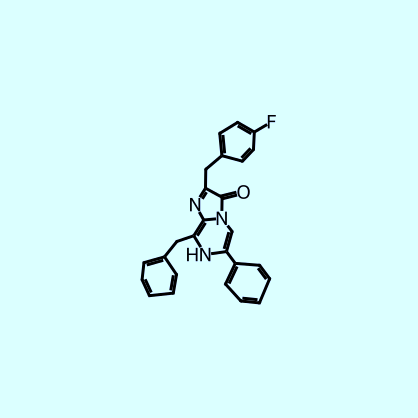 O=c1c(Cc2ccc(F)cc2)nc2c(Cc3ccccc3)[nH]c(-c3ccccc3)cn1-2